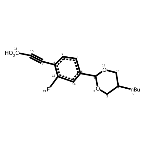 CCCCC1COC(c2ccc(C#CC(=O)O)c(F)c2)OC1